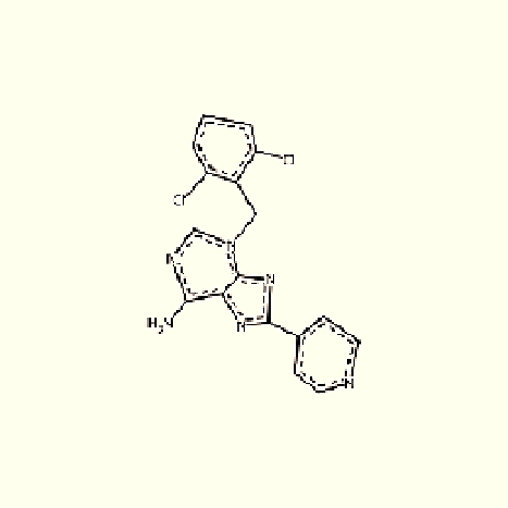 Nc1ncn(Cc2c(Cl)cccc2Cl)c2nc(-c3ccncc3)nc1-2